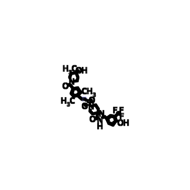 Cc1cc(C(=O)N2CCC(C)(O)CC2)cc(C)c1/C=C/S(=O)(=O)N1CCC2(CC1)N=C(c1ccc(O)c(C(F)(F)F)c1)NC2=O